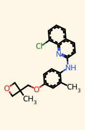 Cc1cc(OCC2(C)COC2)ccc1Nc1ccc2cccc(Cl)c2n1